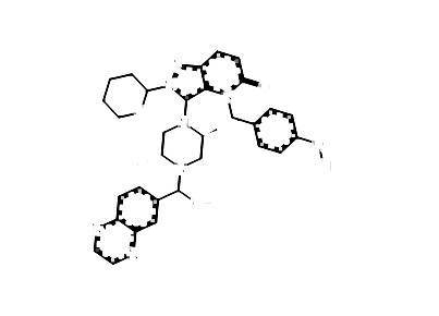 COc1ccc(Cn2c(=O)ccc3nn(C4CCCCO4)c(N4C[C@@H](C)N(C(C)c5ccc6nccnc6c5)C[C@@H]4C)c32)cc1